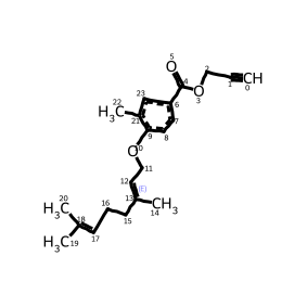 C#CCOC(=O)c1ccc(OC/C=C(\C)CCC=C(C)C)c(C)c1